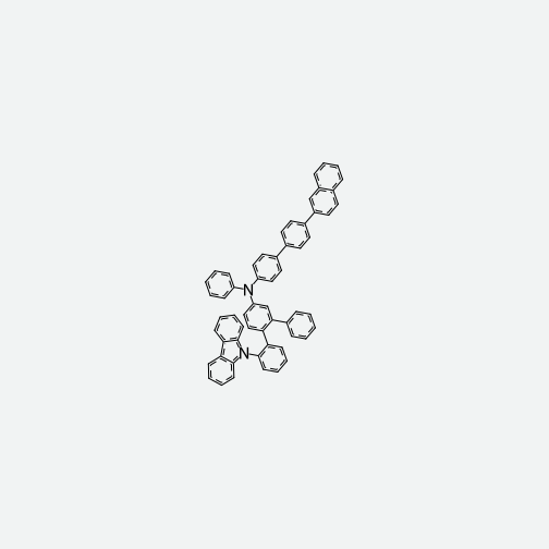 c1ccc(-c2cc(N(c3ccccc3)c3ccc(-c4ccc(-c5ccc6ccccc6c5)cc4)cc3)ccc2-c2ccccc2-n2c3ccccc3c3ccccc32)cc1